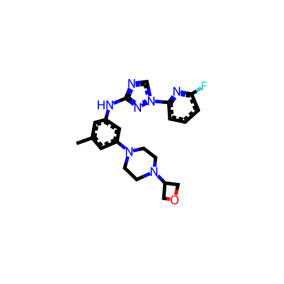 Cc1cc(Nc2ncn(-c3cccc(F)n3)n2)cc(N2CCN(C3COC3)CC2)c1